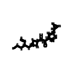 C=CC(CCC)CN1CC(NC(=O)c2cn(C3CC3)nn2)C1